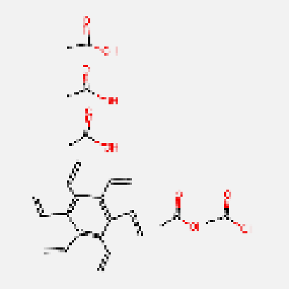 C=Cc1c(C=C)c(C=C)c(C=C)c(C=C)c1C=C.CC(=O)O.CC(=O)O.CC(=O)O.CC(=O)O.CC(=O)O